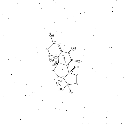 CC(=O)[C@@]1(O)CC[C@H]2[C@@H]3C(=O)C(O)C4=CC(O)CC[C@]4(C)[C@H]3CC[C@@]21C